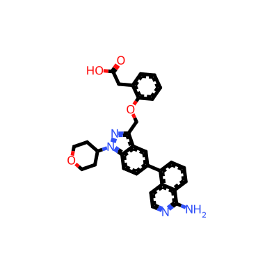 Nc1nccc2c(-c3ccc4c(c3)c(COc3ccccc3CC(=O)O)nn4C3CCOCC3)cccc12